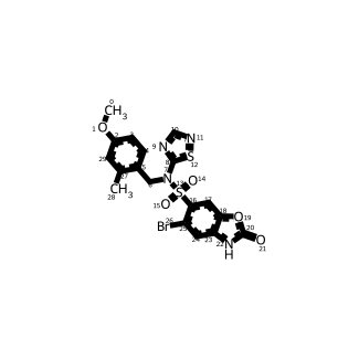 COc1ccc(CN(c2ncns2)S(=O)(=O)c2cc3oc(=O)[nH]c3cc2Br)c(C)c1